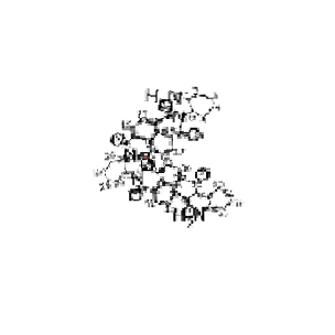 N[C@@H]1CCCCC1N1C(=O)c2ccc3c4c(ccc(c24)C1=O)C(=O)N([C@@H]1CCCCC1N1C(=O)c2ccc4c5c(ccc(c25)C1=O)C(=O)C([C@@H]1CCCC[C@H]1N)C4=O)C3=O